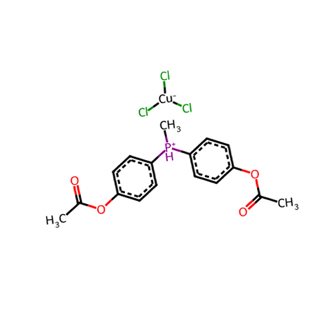 CC(=O)Oc1ccc([PH+](C)c2ccc(OC(C)=O)cc2)cc1.[Cl][Cu-]([Cl])[Cl]